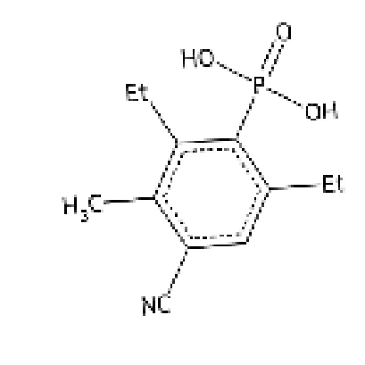 CCc1cc(C#N)c(C)c(CC)c1P(=O)(O)O